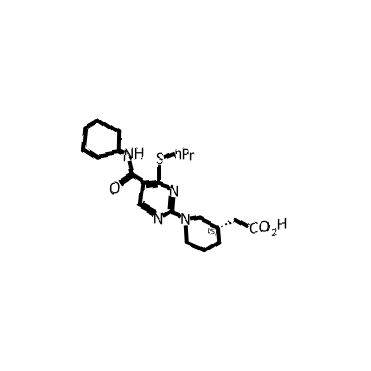 CCCSc1nc(N2CCC[C@@H](CC(=O)O)C2)ncc1C(=O)NC1CCCCC1